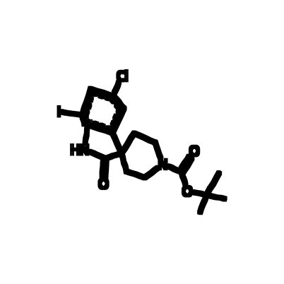 CC(C)(C)OC(=O)N1CCC2(CC1)C(=O)Nc1c(I)cc(Cl)cc12